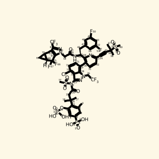 Cc1cc(P(=O)(O)O)cc(OP(=O)(O)O)c1C(C)(C)CC(=O)N(c1nn(CC(F)(F)F)c2c(-c3ccc(C#CC(C)(C)S(C)(=O)=O)nc3[C@H](Cc3cc(F)cc(F)c3)NC(=O)Cn3nc(C(F)(F)F)c4c3C(F)(F)[C@@H]3CC43)ccc(Cl)c12)S(C)(=O)=O